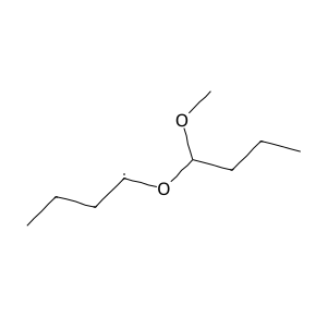 CCC[CH]OC(CCC)OC